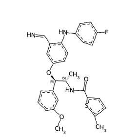 COc1cccc([C@@H](Oc2ccc(Nc3ccc(F)cc3)c(C=N)c2)[C@H](C)NC(=O)c2ccc(C)s2)c1